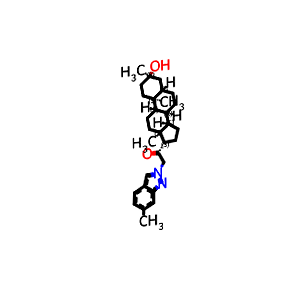 Cc1ccc2cn(CC(=O)[C@H]3CC[C@H]4[C@@H]5CC[C@H]6C[C@](C)(O)CC[C@]6(C)[C@H]5CC[C@]34C)nc2c1